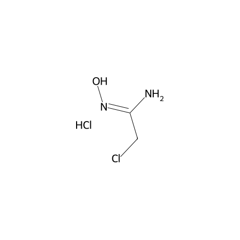 Cl.NC(CCl)=NO